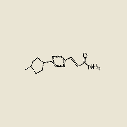 CC1CCC(c2ccc(C=CC(N)=O)cc2)CC1